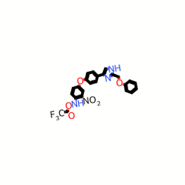 O=C(ONc1ccc(Oc2ccc(-c3c[nH]c(COc4ccccc4)n3)cc2)cc1[N+](=O)[O-])C(F)(F)F